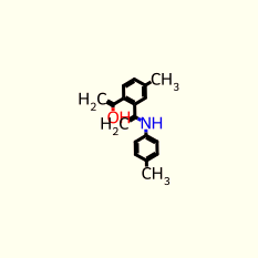 C=C(O)c1ccc(C)cc1C(=C)Nc1ccc(C)cc1